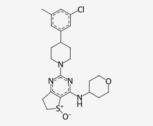 Cc1cc(Cl)cc(C2CCN(c3nc4c(c(NC5CCOCC5)n3)[S+]([O-])CC4)CC2)c1